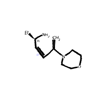 C=C(/C=C\[C@H](N)CC)N1CCOCC1